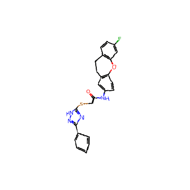 O=C(CSc1nc(-c2ccccc2)n[nH]1)Nc1ccc2c(c1)CCc1ccc(F)cc1O2